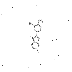 Cc1ccc2oc(-c3ccc(N)c(Br)c3)nc2c1